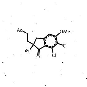 COc1cc2c(c(Cl)c1Cl)C(=O)C(CCC(C)=O)(C(C)C)C2